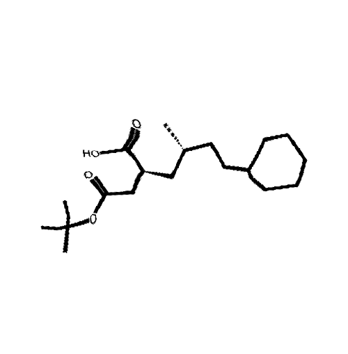 C[C@H](CCC1CCCCC1)C[C@@H](CC(=O)OC(C)(C)C)C(=O)O